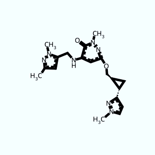 Cc1cc(CNc2cc(OC[C@H]3C[C@@H]3c3ccn(C)n3)nn(C)c2=O)n(C)n1